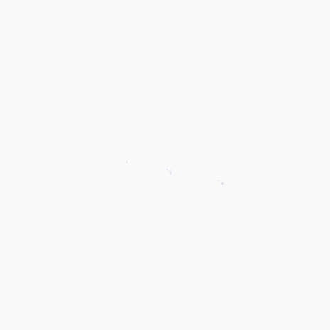 CC(=O)C1CN(C2CCN(C3CC4(CCC(C(=O)C(C)C)CC4)C3)CC2)C1